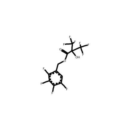 O=C(OCc1cc(F)c(F)c(F)c1F)C(O)(C(F)(F)F)C(F)(F)F